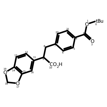 CC(C)(C)OC(=O)c1ccc(CC(C(=O)O)c2ccc3c(c2)OCO3)cc1